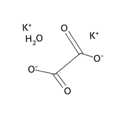 O.O=C([O-])C(=O)[O-].[K+].[K+]